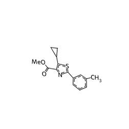 COC(=O)c1nc(-c2cccc(C)c2)sc1C1CC1